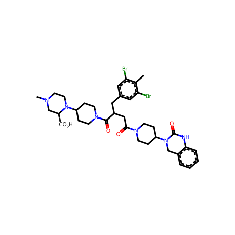 Cc1c(Br)cc(CC(CC(=O)N2CCC(N3Cc4ccccc4NC3=O)CC2)C(=O)N2CCC(N3CCN(C)CC3C(=O)O)CC2)cc1Br